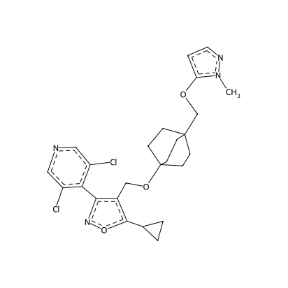 Cn1nccc1OCC12CCC(OCc3c(-c4c(Cl)cncc4Cl)noc3C3CC3)(CC1)CC2